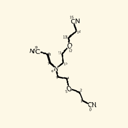 N#CCCOCCN(CCC#N)CCOCCC#N